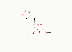 CCO[Si](OCC)(OCC)OCCN1CCOC1